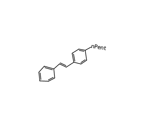 CCCCCc1ccc(C=Cc2ccccc2)cc1